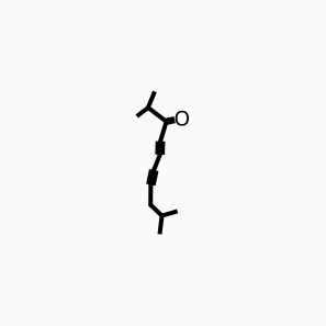 CC(C)CC#CC#CC(=O)C(C)C